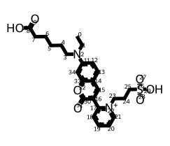 CCN(CCCCCC(=O)O)c1ccc2cc(-c3cccc[n+]3CCCS(=O)(=O)O)c(=O)oc2c1